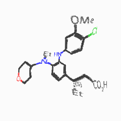 CC[C@@H](CC(=O)O)c1ccc(N(CC)C2CCOCC2)c(Nc2ccc(Cl)c(OC)c2)c1